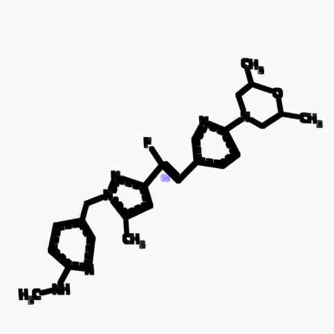 CNc1ccc(Cn2nc(/C(F)=C/c3ccc(N4CC(C)OC(C)C4)nc3)cc2C)cn1